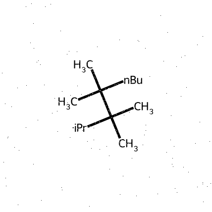 [CH2]CCCC(C)(C)C(C)(C)[C](C)C